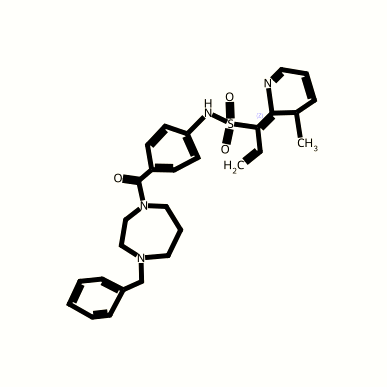 C=C/C(=C1/N=CC=CC1C)S(=O)(=O)Nc1ccc(C(=O)N2CCCN(Cc3ccccc3)CC2)cc1